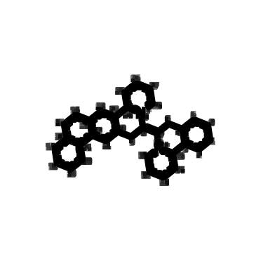 c1ccc2c(c1)C/C(=C1/Cc3cc4c(ccc5ccccc54)cc3-c3cccc[n+]31)[n+]1ccccc1-2